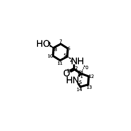 C[C@]1(C(=O)N[C@H]2CC[C@H](O)CC2)CCCN1